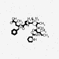 CC[C@H](C)[C@H](NC(=O)[C@H]1CCCCN1)C(=O)N(C)[C@H](C[C@@H](OC)c1nc(C(=O)N[C@@H](Cc2ccccc2)C[C@H](C)C(=O)O)cs1)C(C)C